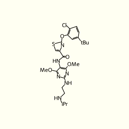 COc1nc(NCCNC(C)C)nc(OC)c1NC(=O)c1csc(Oc2cc(C(C)(C)C)ccc2Cl)n1